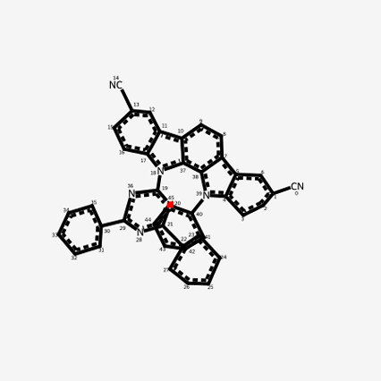 N#Cc1ccc2c(c1)c1ccc3c4cc(C#N)ccc4n(-c4nc(-c5ccccc5)nc(-c5ccccc5)n4)c3c1n2-c1ccccc1